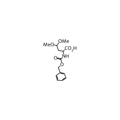 COC(CC(NC(=O)OCc1ccccc1)C(=O)O)OC